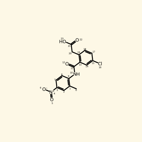 Cc1cc([N+](=O)[O-])ccc1NC(=O)c1cc(Cl)ccc1CC(=O)O